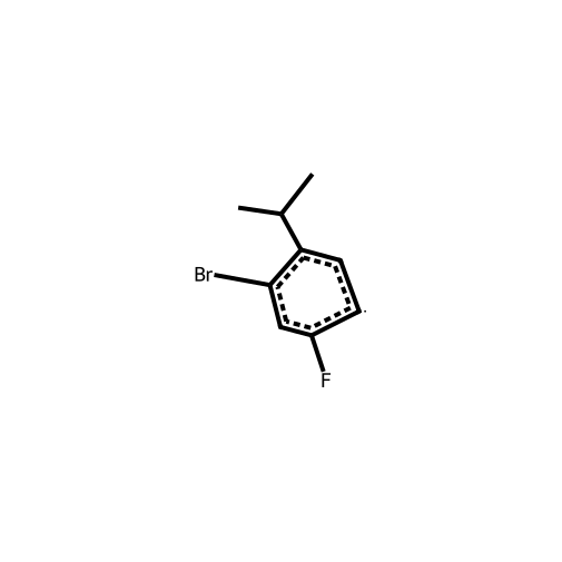 CC(C)c1c[c]c(F)cc1Br